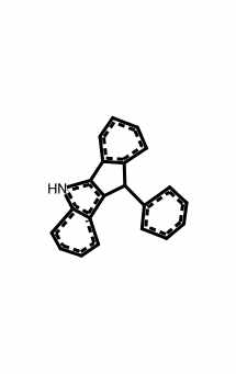 c1ccc(C2c3ccccc3-c3[nH]c4ccccc4c32)cc1